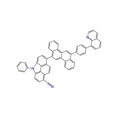 N#Cc1ccc2c3c1ccc1c(-c4cc5c6ccccc6c(-c6ccc(-c7cccc8cccnc78)cc6)cc5c5ccccc45)ccc(c13)n2-c1ccccc1